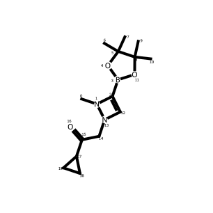 Cn1c(B2OC(C)(C)C(C)(C)O2)cn1CC(=O)C1CC1